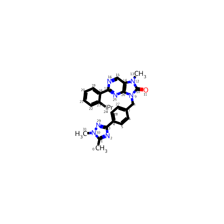 Cc1nc(-c2ccc(Cn3c(=O)n(C)c4cnc(-c5ccccc5C(C)C)nc43)cc2)nn1C